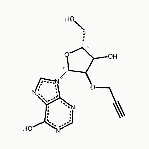 C#CCOC1C(O)[C@@H](CO)O[C@H]1n1cnc2c(O)ncnc21